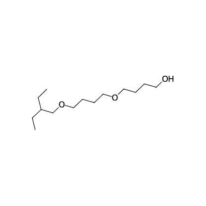 CCC(CC)COCCCCOCCCCO